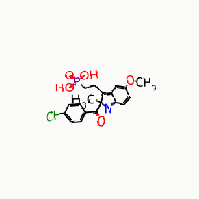 COc1ccc2c(c1)=C(CCP(=O)(O)O)C(C)(C(=O)c1ccc(Cl)cc1)N=2